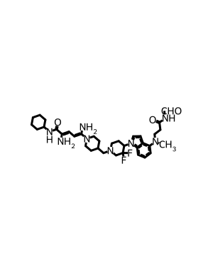 CN(CCC(=O)NC=O)c1cccc2c1ccn2C1CCN(CC2CCN(/C(N)=C/C=C(\N)C(=O)NC3CCCCC3)CC2)CC1(F)F